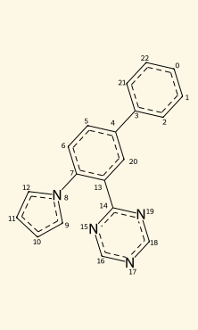 c1ccc(-c2ccc(-n3cccc3)c(-c3ncncn3)c2)cc1